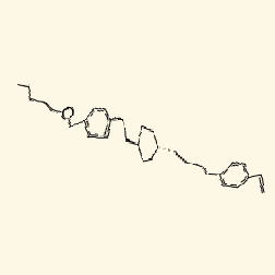 C=Cc1ccc(CCCC[C@H]2CC[C@H](CCc3ccc(COCCCCC)cc3)CC2)cc1